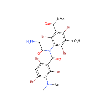 CNC(=O)c1c(Br)c(C(=O)O)c(Br)c(N(C(=O)CN)C(=O)c2c(Br)cc(Br)c(N(C)C(C)=O)c2Br)c1Br